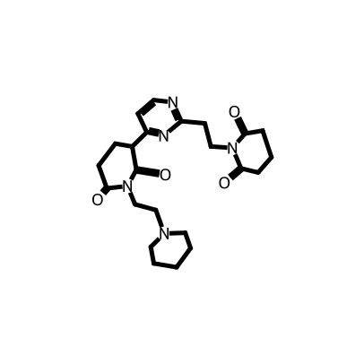 O=C1CCCC(=O)N1CCc1nccc(C2CCC(=O)N(CCN3CCCCC3)C2=O)n1